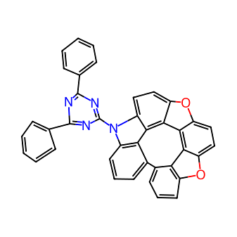 c1ccc(-c2nc(-c3ccccc3)nc(-n3c4cccc5c6cccc7oc8ccc9oc%10ccc3c(c%10c9c8c76)c54)n2)cc1